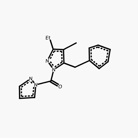 CCc1nn(C(=O)n2cccn2)c(Cc2ccccc2)c1C